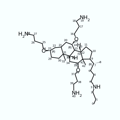 CCCNCCC[C@@H](C)C1CC[C@H]2C3[C@H](OCCCN)CC4C[C@H](OCCCN)CCC4(C)[C@H]3C[C@H](OCCCN)C12C